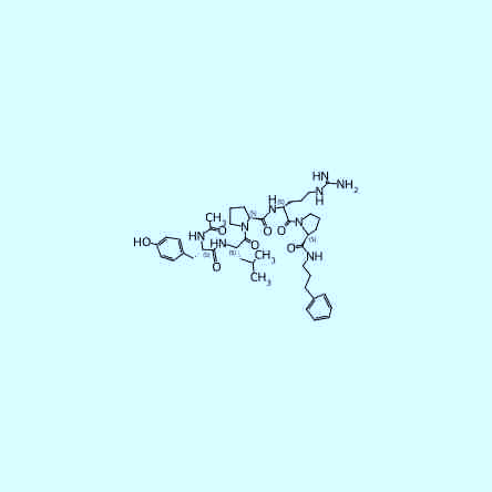 CC(=O)N[C@@H](Cc1ccc(O)cc1)C(=O)N[C@@H](CC(C)C)C(=O)N1CCC[C@H]1C(=O)N[C@@H](CCCNC(=N)N)C(=O)N1CCC[C@H]1C(=O)NCCCc1ccccc1